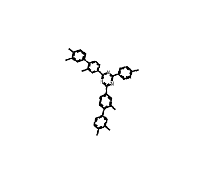 Cc1ccc(-c2nc(-c3ccc(-c4ccc(C)c(C)c4)c(C)c3)nc(-c3ccc(-c4ccc(C)c(C)c4)c(C)c3)n2)cc1